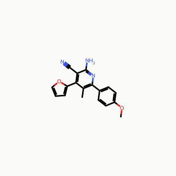 COc1ccc(-c2nc(N)c(C#N)c(-c3ccco3)c2C)cc1